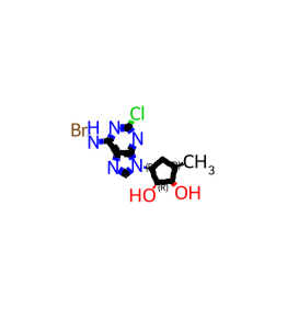 C[C@@H]1C[C@@H](n2cnc3c(NBr)nc(Cl)nc32)[C@@H](O)C1O